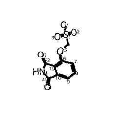 [O]S(=O)(=O)COc1cccc2c1C(=O)NC2=O